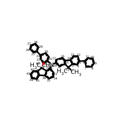 CC1(C)c2cc(-c3ccccc3)ccc2-c2ccc(N(c3ccc(-c4ccccc4)cc3)c3cccc4c3C(C)(C)c3ccccc3-4)cc21